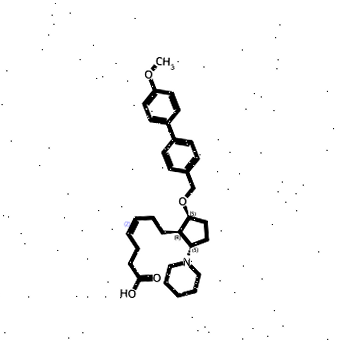 COc1ccc(-c2ccc(CO[C@H]3CC[C@H](N4CCCCC4)[C@H]3CC/C=C\CCC(=O)O)cc2)cc1